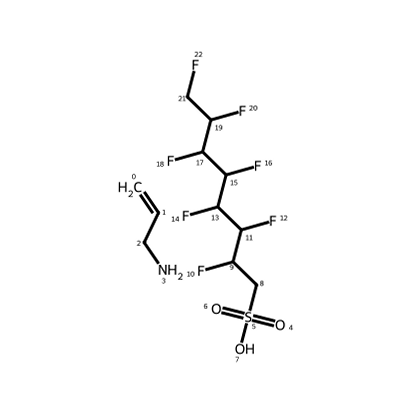 C=CCN.O=S(=O)(O)CC(F)C(F)C(F)C(F)C(F)C(F)CF